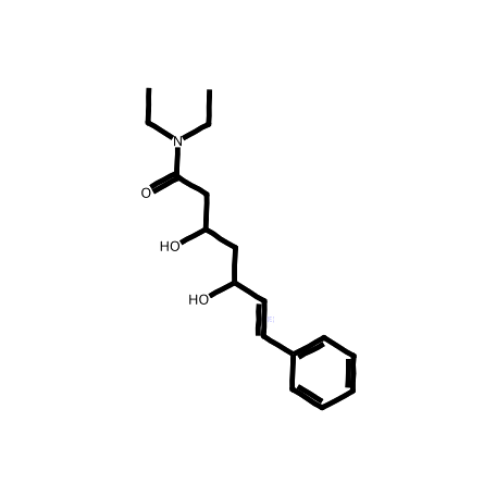 CCN(CC)C(=O)CC(O)CC(O)/C=C/c1ccccc1